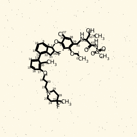 CCOc1cc(O[C@@H]2c3cccc(-c4cccc(OCCCN5CCC(C)(F)CC5)c4C)c3C[C@@H]2F)c(Cl)cc1CNC(C(=O)NS(C)(=O)=O)[C@@H](C)O